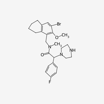 COc1c(Br)cc2c(c1CN(C)C(=O)C(c1ccc(F)cc1)N1CCNCC1)CCCC2